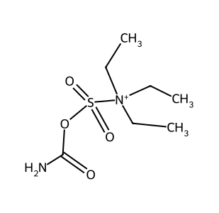 CC[N+](CC)(CC)S(=O)(=O)OC(N)=O